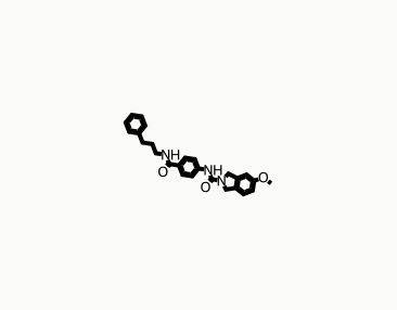 COc1ccc2c(c1)CN(C(=O)Nc1ccc(C(=O)NCCCc3ccccc3)cc1)C2